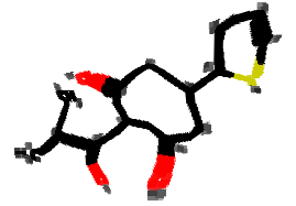 CC(C)C(=O)C1C(=O)CC(c2cccs2)CC1=O